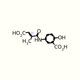 C/C(=C\C(=O)O)C(=O)Nc1ccc(O)c(C(=O)O)c1